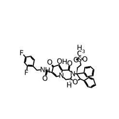 CS(=O)(=O)CC[C@@]1(c2ccccc2)C(c2ccccc2)O[C@H]2Cn3cc(C(=O)NCc4ccc(F)cc4F)c(=O)c(O)c3C(=O)N21